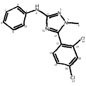 Cn1nc(Nc2ccccc2)nc1-c1ccc(Cl)cc1Cl